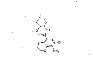 COC1CNCCC1NC(=O)c1cc(Cl)c(N)c2c1OCCO2